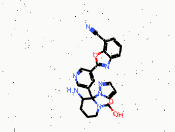 N#Cc1cccc2nc(-c3cncc(C4(n5cccn5)C(N)CCCN4C(=O)O)c3)oc12